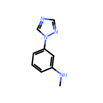 CNc1cccc(-n2cncn2)c1